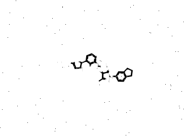 CC1=NN(c2ccc3c(c2)CCC3)C(=O)/C1=N\Nc1cccc(C2CC=C(C(=O)O)S2)c1O